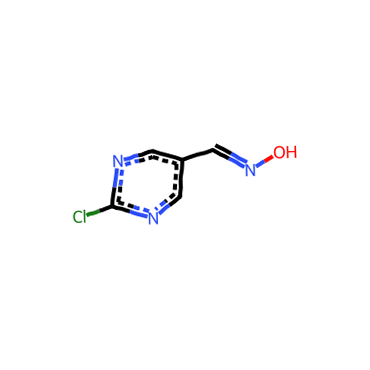 O/N=C/c1cnc(Cl)nc1